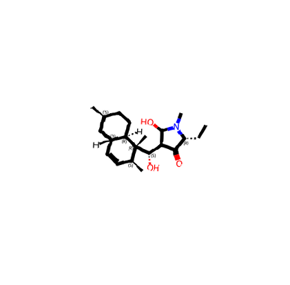 CC[C@@H]1C(=O)C([C@H](O)[C@@]2(C)[C@@H]3CC[C@H](C)C[C@H]3C=C[C@@H]2C)C(O)N1C